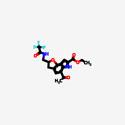 CCOC(=O)c1cc2c3c(cc(C(C)=O)c2[nH]1)CC(CNC(=O)C(F)(F)F)O3